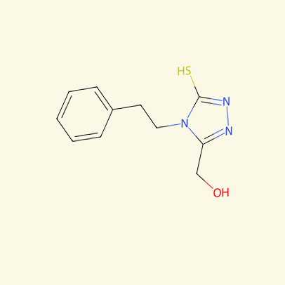 OCc1nnc(S)n1CCc1ccccc1